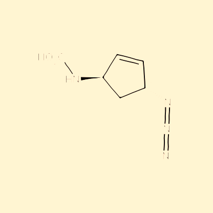 [N-]=[N+]=N[C@H]1C=C[C@H](NC(=O)O)C1